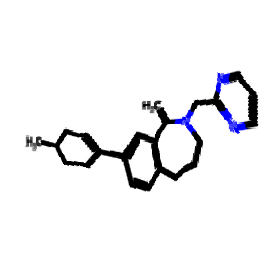 C=C1c2cc(C3=CCC(C)CC3)ccc2CCCN1Cc1ncccn1